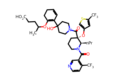 CCC[C@H]1N(C(=O)c2cnccc2C(F)(F)F)CCC[C@@]1(Oc1csc(C(F)(F)F)c1)C(=O)N1CCC(O)(C2=C(OC(C)CCC(=O)O)CCC=C2)CC1